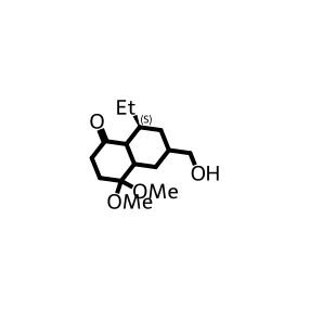 CC[C@H]1CC(CO)CC2C1C(=O)CCC2(OC)OC